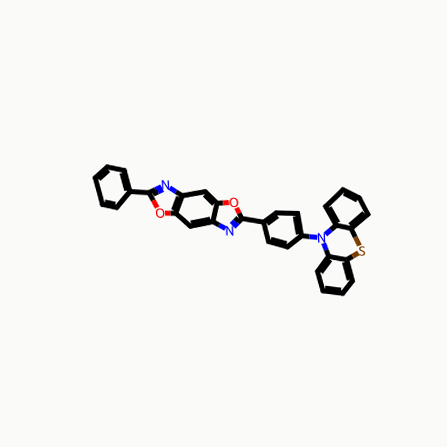 c1ccc(-c2nc3cc4oc(-c5ccc(N6c7ccccc7Sc7ccccc76)cc5)nc4cc3o2)cc1